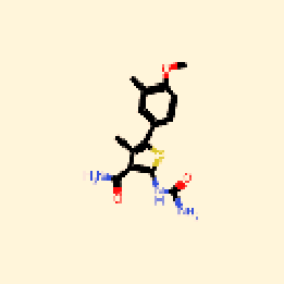 COc1ccc(-c2sc(NC(N)=O)c(C(N)=O)c2C)cc1C